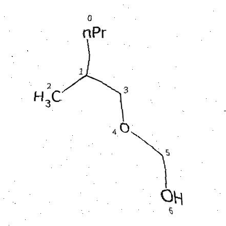 CCCC(C)COCO